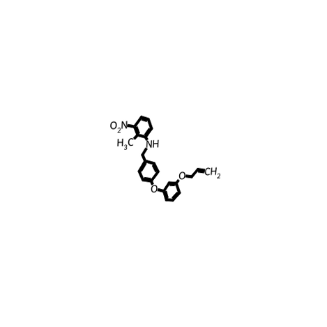 C=CCOc1cccc(Oc2ccc(CNc3cccc([N+](=O)[O-])c3C)cc2)c1